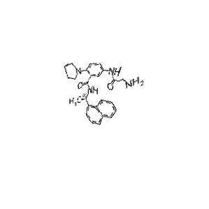 C[C@@H](NC(=O)c1cc(NC(=O)CN)ccc1N1CCCC1)c1cccc2ccccc12